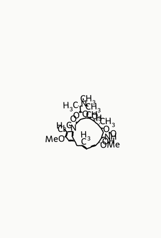 COc1cc2cc(c1Cl)N(C)C(=O)C[C@H](OC(=O)[C@H](C)N(C)C)[C@]1(C)O[C@H]1[C@H](C)C1C[C@@](O)(NC(=O)O1)[C@H](OC)/C=C/C=C(\C)C2